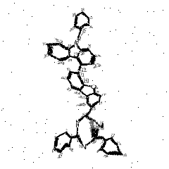 c1ccc(-c2nc(-c3ccccc3)nc(-c3ccc4oc5c(-c6cccc7c6c6ccccc6n7-c6ccccc6)cccc5c4c3)n2)cc1